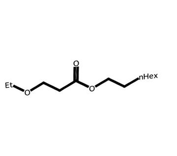 CCCCCCCCOC(=O)CCOCC